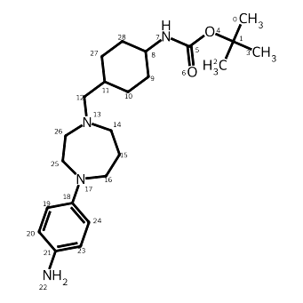 CC(C)(C)OC(=O)NC1CCC(CN2CCCN(c3ccc(N)cc3)CC2)CC1